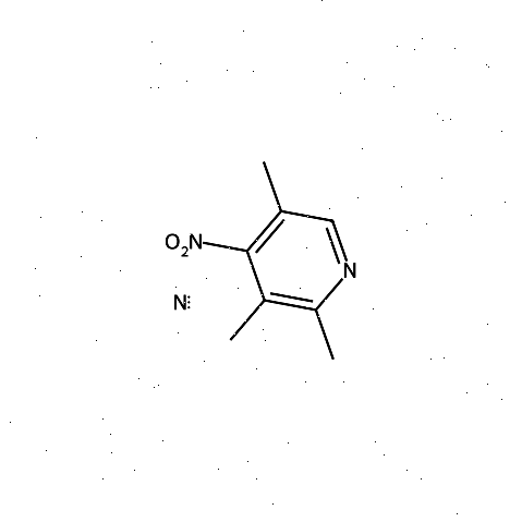 Cc1cnc(C)c(C)c1[N+](=O)[O-].[N]